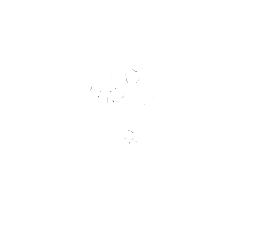 CCOC(=O)C1=C(C2CCC(c3cn(CCC(=O)O)nc3C)CC2)NC(c2nccs2)=NC1c1ccc(F)c(F)c1Cl